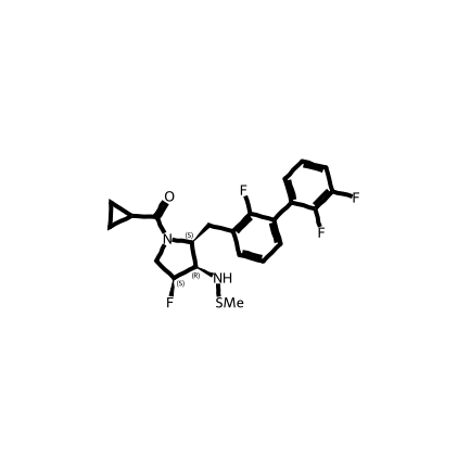 CSN[C@H]1[C@@H](F)CN(C(=O)C2CC2)[C@H]1Cc1cccc(-c2cccc(F)c2F)c1F